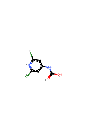 O=C(O)Nc1cc(Cl)nc(Cl)c1